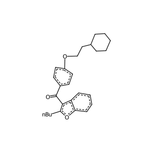 CCCCc1oc2ccccc2c1C(=O)c1ccc(OCCC2CCCCC2)cc1